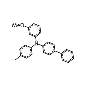 COc1cccc(N(c2ccc(C)cc2)c2ccc(-c3ccccc3)cc2)c1